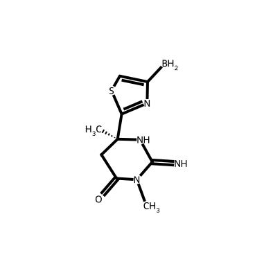 Bc1csc([C@]2(C)CC(=O)N(C)C(=N)N2)n1